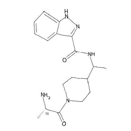 CC(NC(=O)c1n[nH]c2ccccc12)C1CCN(C(=O)[C@H](C)N)CC1